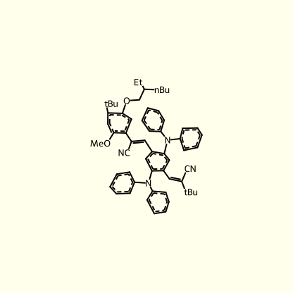 CCCCC(CC)COc1cc(/C(C#N)=C/c2cc(N(c3ccccc3)c3ccccc3)c(/C=C(\C#N)C(C)(C)C)cc2N(c2ccccc2)c2ccccc2)c(OC)cc1C(C)(C)C